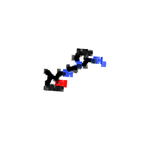 CCCCCCCCCCC(C)C(O)CNCCN(CCN)CNC